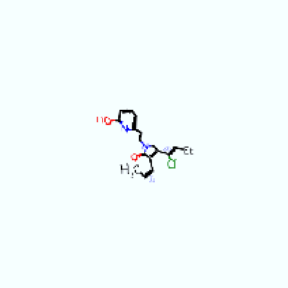 C/C=C\C1=C(C(/Cl)=C/CC)CN(CCc2cccc(O)n2)C1=O